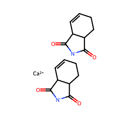 O=C1[N-]C(=O)C2CCC=CC12.O=C1[N-]C(=O)C2CCC=CC12.[Ca+2]